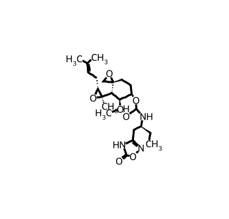 CC[C@@H](Cc1noc(=O)[nH]1)NC(O)O[C@@H]1CC[C@]2(CO2)[C@@H]([C@@]2(C)O[C@@H]2CC=C(C)C)[C@@H]1OC